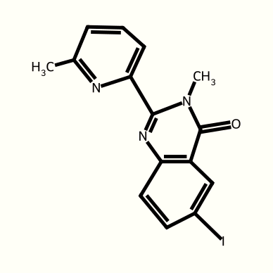 Cc1cccc(-c2nc3ccc(I)cc3c(=O)n2C)n1